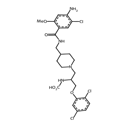 COc1cc(N)c(Cl)cc1C(=O)NCC1CCN(CC(COc2cc(Cl)ccc2Cl)NC(=O)O)CC1